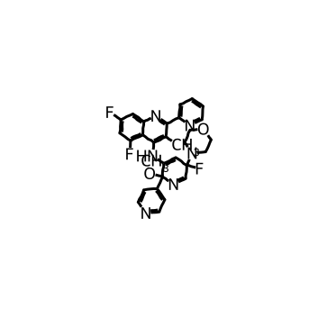 COC1(c2ccncc2)N=CC(F)(N2CCOCC2)C=C1Nc1c(C)c(-c2ccccn2)nc2cc(F)cc(F)c12